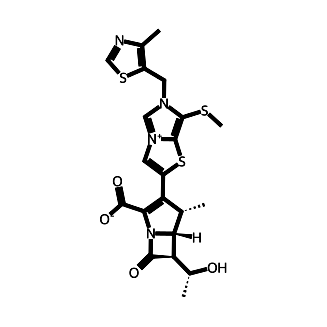 CSc1c2sc(C3=C(C(=O)[O-])N4C(=O)[C@H]([C@@H](C)O)[C@H]4[C@H]3C)c[n+]2cn1Cc1scnc1C